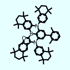 Cc1cccc(C)c1-c1cc2c3c(c1)N(c1ccc4c(c1)C(C)(C)CCC4(C)C)c1c(oc4cc5c(cc14)C(C)(C)CCC5(C)C)B3c1cc3c(cc1N2c1ccc2c(c1)C(C)(C)CCC2(C)C)C(C)(C)CCC3(C)C